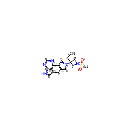 CCS(=O)(=O)N1CC(CC#N)(n2cc3c(c2)-c2ncnc4[nH]cc(c24)C3)C1